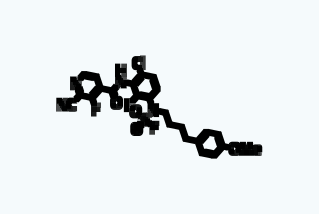 COc1ccc(CCCCN(c2ccc(Cl)c(NC(=O)c3ccnc(C#N)c3F)c2F)S(=O)(=O)F)cc1